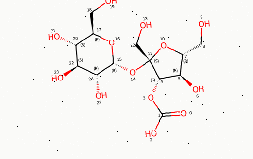 O=C(O)O[C@H]1[C@H](O)[C@@H](CO)O[C@@]1(CO)O[C@H]1O[C@H](CO)[C@@H](O)[C@H](O)[C@H]1O